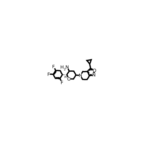 NC1CC(N2CCc3noc(C4CC4)c3C2)CO[C@@H]1C1CC(F)=C(F)C=C1F